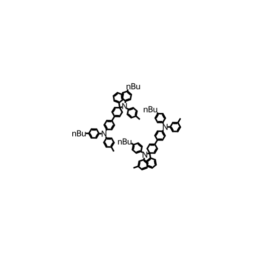 CCCCc1ccc(N(c2ccc(C)cc2)c2ccc(C3=CCC(c4ccccc4)(N(c4ccc(C)cc4)c4ccc(CCCC)cc4)C=C3)cc2)cc1.CCCCc1ccc(N(c2ccc(C3=CCC(c4ccccc4)(N(c4ccc(CCCC)cc4)c4cccc(C)c4)C=C3)cc2)c2cccc(C)c2)cc1